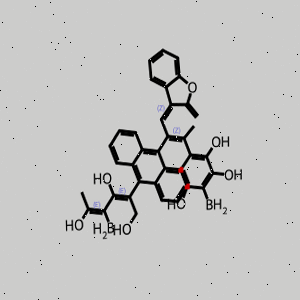 BC(=C(/C)O)/C(O)=C(\CO)c1c2ccccc2c(C(/C=c2\c(=C)oc3ccccc23)=C(/C)c2cc(O)c(B)c(O)c2O)c2ccccc12